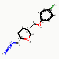 [N-]=[N+]=NC[C@@H]1CC[C@H](COc2ccc(F)cc2)CO1